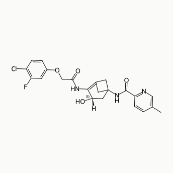 Cc1ccc(C(=O)NC23CC(=C(NC(=O)COc4ccc(Cl)c(F)c4)[C@@H](O)C2)C3)nc1